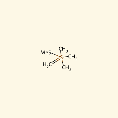 C=S(C)(C)(C)SC